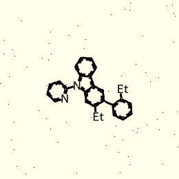 CCc1ccccc1-c1cc2c3ccccc3n(-c3ccccn3)c2cc1CC